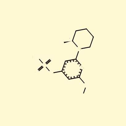 CC(C)(C)Oc1cc(OS(=O)(=O)C(F)(F)F)cc(N2CCCC[C@@H]2C(F)(F)F)n1